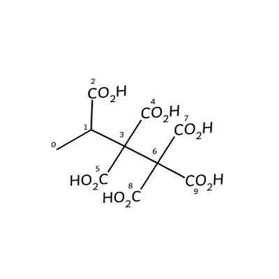 CC(C(=O)O)C(C(=O)O)(C(=O)O)C(C(=O)O)(C(=O)O)C(=O)O